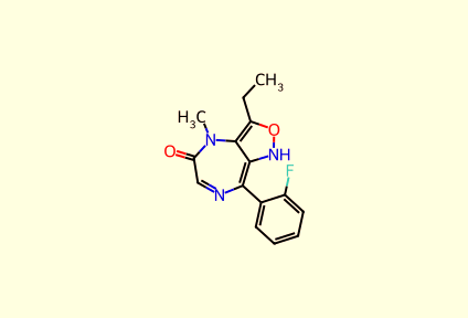 CCC1=C2C(=C(c3ccccc3F)N=CC(=O)N2C)NO1